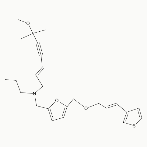 CCCN(CC=CC#CC(C)(C)OC)Cc1ccc(COCC=Cc2ccsc2)o1